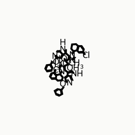 CC(O)(c1ncn(C2CCCc3ccc(Cl)cc32)c1-c1c[nH]c2cnc(OCc3ccccc3)cc12)C(C)(O)c1ncn(C2CCCc3cccc(Cl)c32)c1-c1c[nH]c2cnc(OCc3ccccc3)cc12